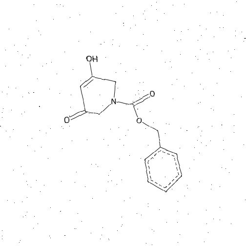 O=C1C=C(O)CN(C(=O)OCc2ccccc2)C1